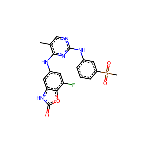 Cc1cnc(Nc2cccc(S(C)(=O)=O)c2)nc1Nc1cc(F)c2oc(=O)[nH]c2c1